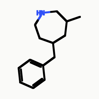 CC1CNCCC(Cc2ccccc2)C1